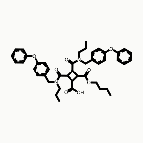 CCCCOC(=O)C1C(C(=O)O)C(C(=O)N(CCC)Cc2ccc(Oc3ccccc3)cc2)C1C(=O)N(CCC)Cc1ccc(Oc2ccccc2)cc1